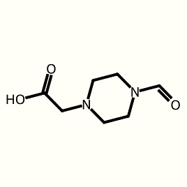 O=CN1CCN(CC(=O)O)CC1